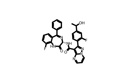 CC(O)c1ccc(-c2nn3cccnc3c2C(=O)N[C@H]2N=C(c3ccccc3)c3cccc(F)c3NC2=O)c(F)c1